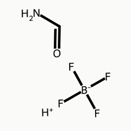 F[B-](F)(F)F.NC=O.[H+]